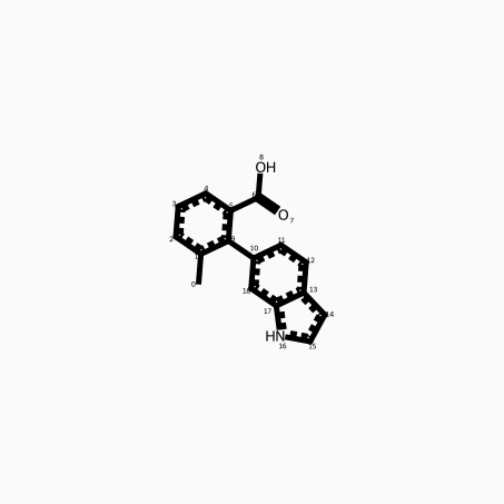 Cc1cccc(C(=O)O)c1-c1ccc2cc[nH]c2c1